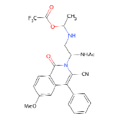 COc1ccc2c(=O)n(C(CNC(C)OC(=O)C(F)(F)F)NC(C)=O)c(C#N)c(-c3ccccc3)c2c1